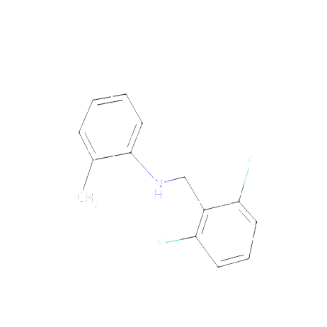 [CH2]c1ccccc1NCc1c(F)cccc1F